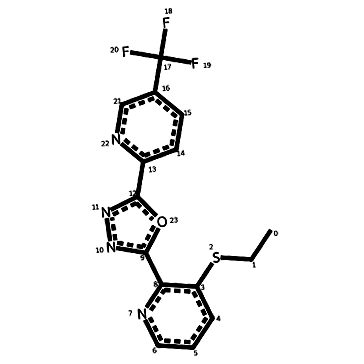 CCSc1cccnc1-c1nnc(-c2ccc(C(F)(F)F)cn2)o1